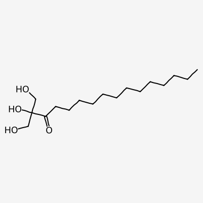 CCCCCCCCCCCCCC(=O)C(O)(CO)CO